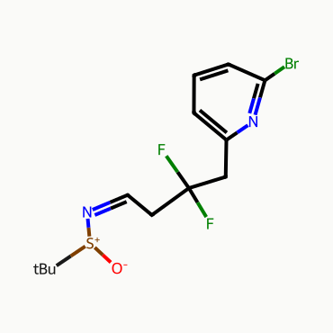 CC(C)(C)[S+]([O-])/N=C\CC(F)(F)Cc1cccc(Br)n1